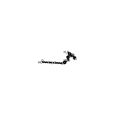 CN1CCC(Nc2cccc(C(=O)NCc3ccc(OCCCCCCOCCOCCOCCCCCC(=O)O)cc3)c2)(c2nnc(-c3ccncc3)[nH]2)CC1